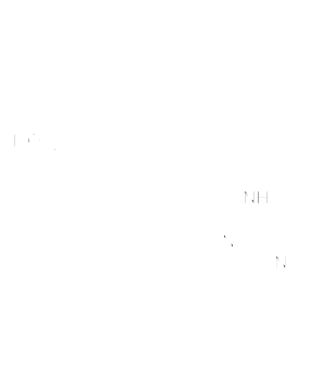 CC(C)(O)C#Cc1ccc(-c2nc3ncccc3[nH]2)cc1